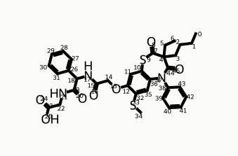 CCCCC1(CC)C(=O)Sc2cc(OCC(=O)NC(C(=O)NCC(=O)O)c3ccccc3)c(SC)cc2N(c2ccccc2)C1=O